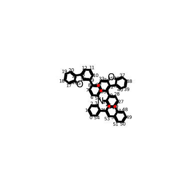 c1ccc(N(c2ccc(-c3cccc4c3oc3ccccc34)cc2)c2ccccc2-c2cccc3oc4ccccc4c23)c(-c2ccc3ccccc3c2)c1